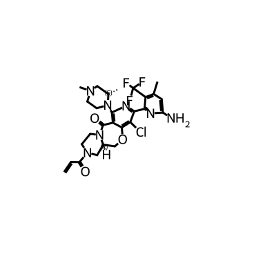 C=CC(=O)N1CCN2C(=O)c3c(N4CCN(C)C[C@@H]4C)nc(-c4nc(N)cc(C)c4C(F)(F)F)c(Cl)c3OC[C@H]2C1